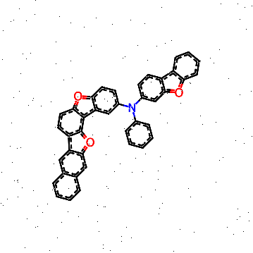 c1ccc(N(c2ccc3c(c2)oc2ccccc23)c2ccc3oc4ccc5c6cc7ccccc7cc6oc5c4c3c2)cc1